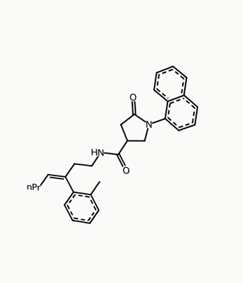 CCC/C=C(/CCNC(=O)C1CC(=O)N(c2cccc3ccccc23)C1)c1ccccc1C